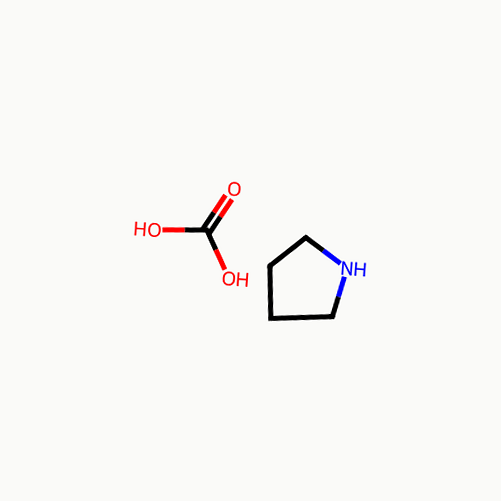 C1CCNC1.O=C(O)O